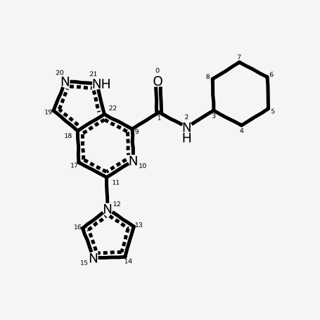 O=C(NC1CCCCC1)c1nc(-n2ccnc2)cc2cn[nH]c12